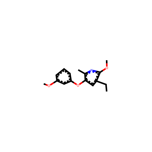 CCc1cc(Oc2cccc(OC)c2)c(C)nc1OC